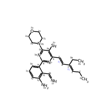 CC/C=C(/C=C/c1nc(-c2cccc(N)c2C=N)nc(N2CCOCC2)c1S)CC